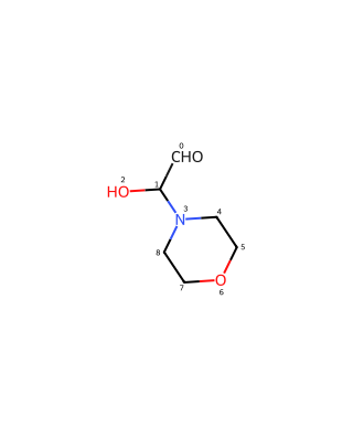 O=CC(O)N1CCOCC1